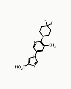 Cc1cc(-n2cnc(C(=O)O)c2)cnc1N1CCC(F)(F)CC1